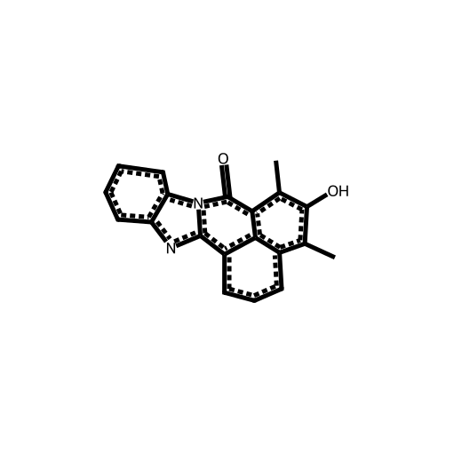 Cc1c(O)c(C)c2c(=O)n3c4ccccc4nc3c3cccc1c23